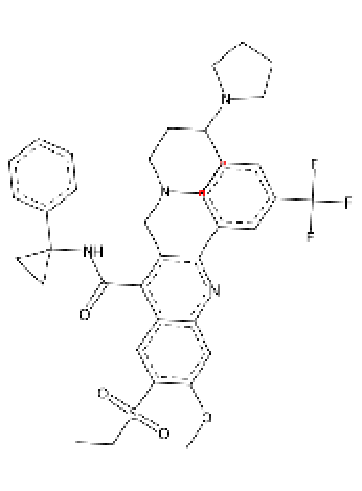 CCS(=O)(=O)c1cc2c(C(=O)NC3(c4ccccc4)CC3)c(CN3CCC(N4CCCC4)CC3)c(-c3cccc(C(F)(F)F)c3)nc2cc1OC